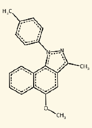 COc1cc2c(C)nn(-c3ccc(C)cc3)c2c2ccccc12